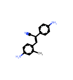 Cc1cc(N)ccc1C=C(C#N)c1ccc(N)cc1